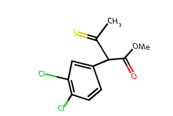 COC(=O)C(C(C)=S)c1ccc(Cl)c(Cl)c1